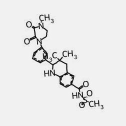 CN1CCN(c2cccc(C3Nc4ccc(C(=O)NS(C)(=O)=O)cc4CC3(C)C)c2)C(=O)C1=O